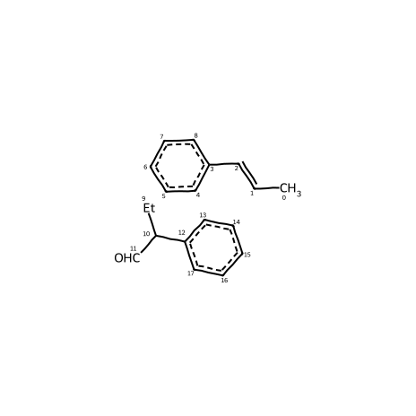 CC=Cc1ccccc1.CCC(C=O)c1ccccc1